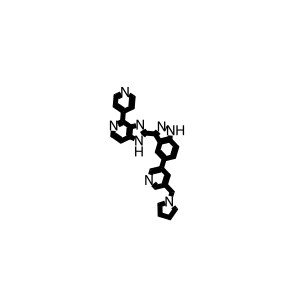 c1cc(-c2nccc3[nH]c(-c4n[nH]c5ccc(-c6cncc(CN7CCCC7)c6)cc45)nc23)ccn1